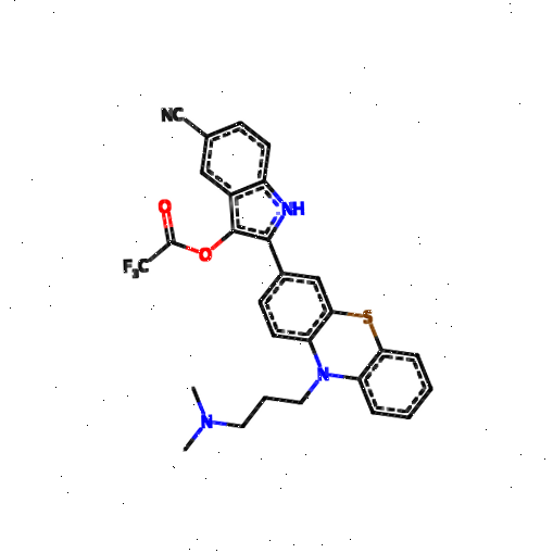 CN(C)CCCN1c2ccccc2Sc2cc(-c3[nH]c4ccc(C#N)cc4c3OC(=O)C(F)(F)F)ccc21